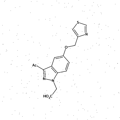 CC(=O)c1nn(CC(=O)O)c2ccc(OCc3cscn3)cc12